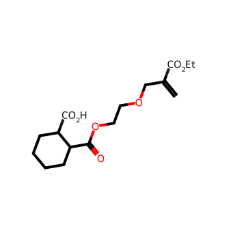 C=C(COCCOC(=O)C1CCCCC1C(=O)O)C(=O)OCC